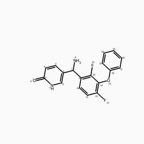 NC(c1ccc(=O)[nH]c1)c1ccc(F)c(Oc2ccccc2)c1F